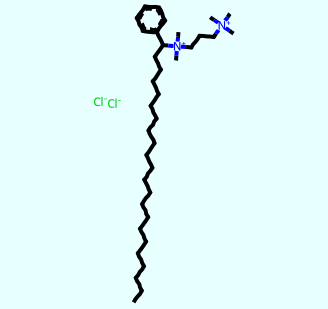 CCCCCCCCCCCCCCCCCCCCCC(c1ccccc1)[N+](C)(C)CCC[N+](C)(C)C.[Cl-].[Cl-]